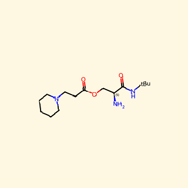 CC(C)(C)NC(=O)[C@@H](N)COC(=O)CCN1CCCCC1